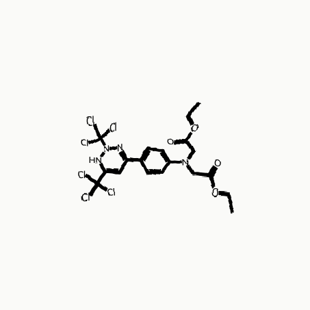 CCOC(=O)CN(CC(=O)OCC)c1ccc(C2=NN(C(Cl)(Cl)Cl)NC(C(Cl)(Cl)Cl)=C2)cc1